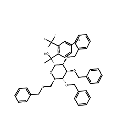 CC(O)(c1ccc(Br)cc1C(F)(F)F)[C@H]1O[C@H](COCc2ccccc2)[C@@H](OCc2ccccc2)[C@H](OCc2ccccc2)[C@@H]1OCc1ccccc1